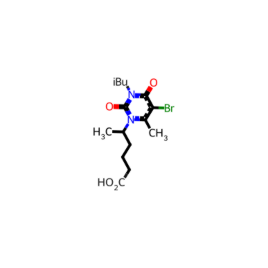 CCC(C)n1c(=O)c(Br)c(C)n(C(C)CCCC(=O)O)c1=O